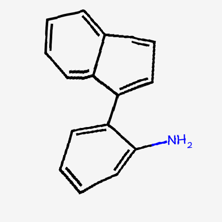 Nc1ccccc1-c1cccc2ccccc12